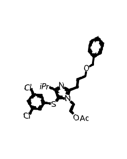 CC(=O)OCCn1c(CCCOCc2ccccc2)nc(C(C)C)c1Sc1cc(Cl)cc(Cl)c1